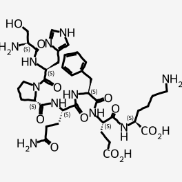 NCCCC[C@H](NC(=O)[C@H](CCC(=O)O)NC(=O)[C@H](Cc1ccccc1)NC(=O)[C@H](CCC(N)=O)NC(=O)[C@@H]1CCCN1C(=O)[C@H](Cc1c[nH]cn1)NC(=O)[C@@H](N)CO)C(=O)O